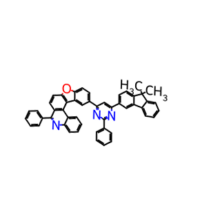 CC1(C)c2ccccc2-c2cc(-c3cc(-c4ccc5oc6ccc7c(-c8ccccc8)nc8ccccc8c7c6c5c4)nc(-c4ccccc4)n3)ccc21